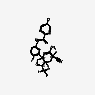 C[C@@]1(C#N)C[C@@H]2[C@@H](C(F)(F)F)OC[C@]2(c2cc(NC(=O)c3ncc(Cl)cn3)ccc2F)N=C1N